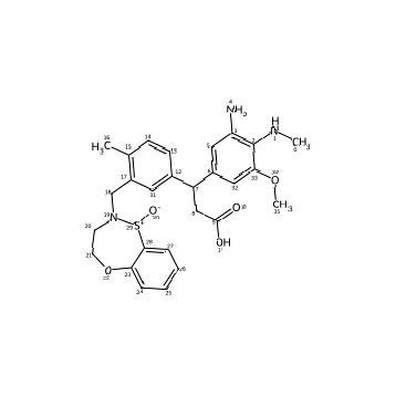 CNc1c(N)cc(C(CC(=O)O)c2ccc(C)c(CN3CCOc4ccccc4[S+]3[O-])c2)cc1OC